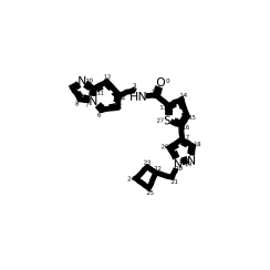 O=C(NCc1ccn2ccnc2c1)c1ccc(-c2cnn(CC3CCC3)c2)s1